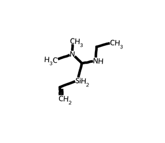 C=C[SiH2]C(NCC)N(C)C